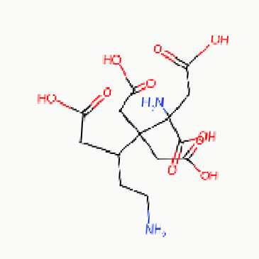 NCCC(CC(=O)O)C(CC(=O)O)(CC(=O)O)C(N)(CC(=O)O)C(=O)O